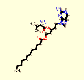 CCCCCCCCCCCC(=O)OCCC(CCn1cnc2cnc(N)nc21)OC(=O)[C@@H](N)C(C)C